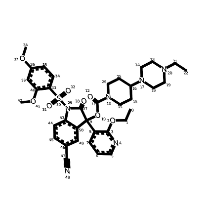 CCOc1ncccc1C1(OC(=O)N2CCC(N3CCN(CC)CC3)CC2)C(=O)N(S(=O)(=O)c2ccc(OC)cc2OC)c2ccc(C#N)cc21